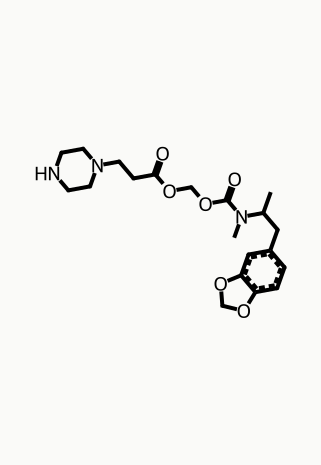 CC(Cc1ccc2c(c1)OCO2)N(C)C(=O)OCOC(=O)CCN1CCNCC1